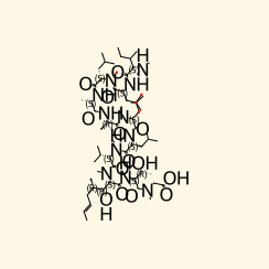 CC=CC[C@@H](C)[C@@H](O)[C@@H](C(=O)N[C@H](C(=O)N(C)CC(=O)O)[C@@H](C)O)N(C)C(=O)[C@H](C(C)C)N(C)C(=O)[C@H](CC(C)C)NC(=O)[C@H](CC(C)C)N(C)C(=O)[C@@H](C)NC(=O)[C@H](C)NC(=O)[C@H](CC(C)C)N(C)C(=O)[C@H](CC(C)C)NC(=O)[C@@H](NC)C(C)CC